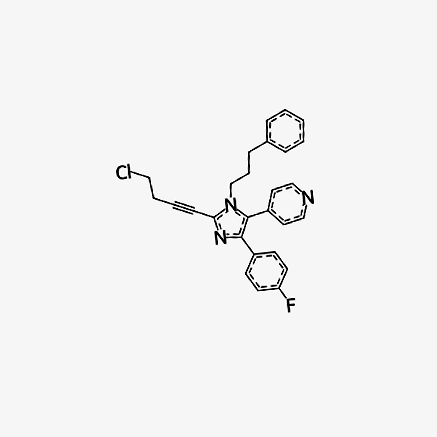 Fc1ccc(-c2nc(C#CCCCl)n(CCCc3ccccc3)c2-c2ccncc2)cc1